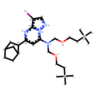 C[Si](C)(C)CCOCN(COCC[Si](C)(C)C)c1cc(C2CC3CCC2C3)nc2c(I)cnn12